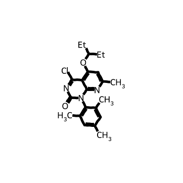 CCC(CC)Oc1cc(C)nc2c1c(Cl)nc(=O)n2-c1c(C)cc(C)cc1C